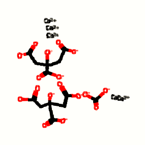 O=C([O-])CC([O-])(CC(=O)[O-])C(=O)[O-].O=C([O-])CC([O-])(CC(=O)[O-])C(=O)[O-].O=C([O-])[O-].[Ca+2].[Ca+2].[Ca+2].[Ca+2].[Ca+2]